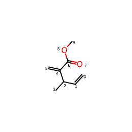 C=CC(C)C(=C)C(=O)OC